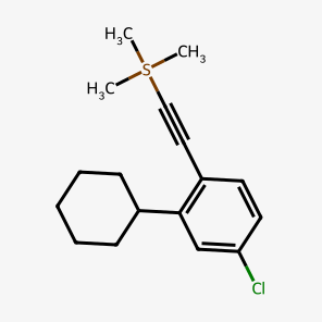 CS(C)(C)C#Cc1ccc(Cl)cc1C1CCCCC1